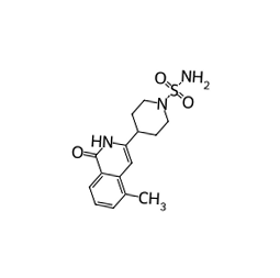 Cc1cccc2c(=O)[nH]c(C3CCN(S(N)(=O)=O)CC3)cc12